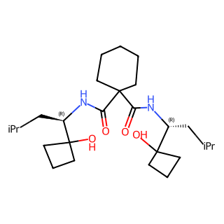 CC(C)C[C@@H](NC(=O)C1(C(=O)N[C@H](CC(C)C)C2(O)CCC2)CCCCC1)C1(O)CCC1